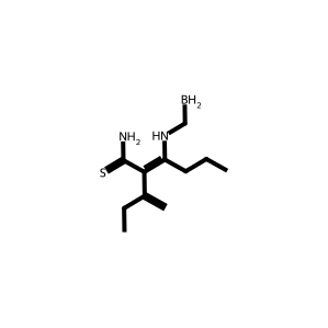 BCN/C(CCC)=C(/C(=C)CC)C(N)=S